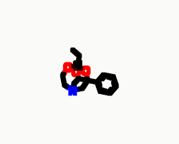 CC[Si]12OCCN(CCO1)CC(c1ccccc1)O2